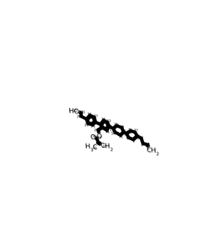 C=CCCC1CCC(C2CCC(c3ccc(-c4ccc(CCO)cc4)c(COC(=O)C(=C)C)c3)CC2)CC1